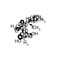 CSCC[C@H](NC(=O)[C@@H]1CCCN1C(=O)[C@]1(C(C)C)N(C(=O)[C@H](Cc2ccc(O)cc2)NC(=O)[C@H](CC(=O)O)NC(C)=O)C1(C=O)C=O)C(=O)N[C@@H](CC(C)C)C(N)=O